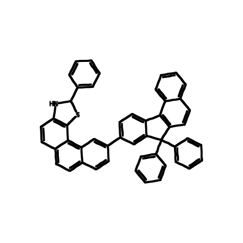 c1ccc(C2Nc3ccc4ccc5ccc(-c6ccc7c(c6)C(c6ccccc6)(c6ccccc6)c6ccc8ccccc8c6-7)cc5c4c3S2)cc1